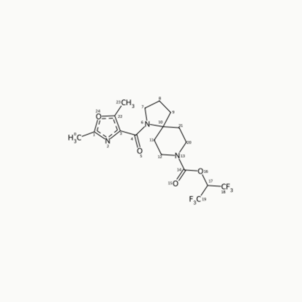 Cc1nc(C(=O)N2CCCC23CCN(C(=O)OC(C(F)(F)F)C(F)(F)F)CC3)c(C)o1